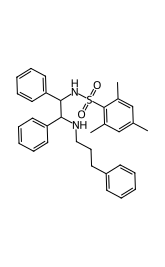 Cc1cc(C)c(S(=O)(=O)NC(c2ccccc2)C(NCCCc2ccccc2)c2ccccc2)c(C)c1